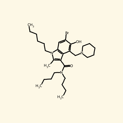 CCCCCCn1c(C)c(C(=O)N(CCCC)CCCC)c2c(CN3CCCCC3)c(O)c(Br)cc21